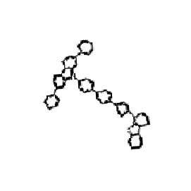 c1ccc(-c2ccc3c4ccc(-c5ccccc5)cc4n(-c4ccc(-c5ccc(-c6ccc(-c7cccc8c7sc7ccccc78)cc6)cc5)cc4)c3c2)cc1